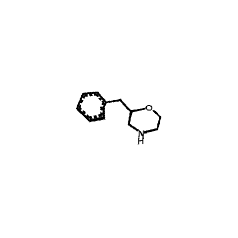 c1ccc(CC2CNCCO2)cc1